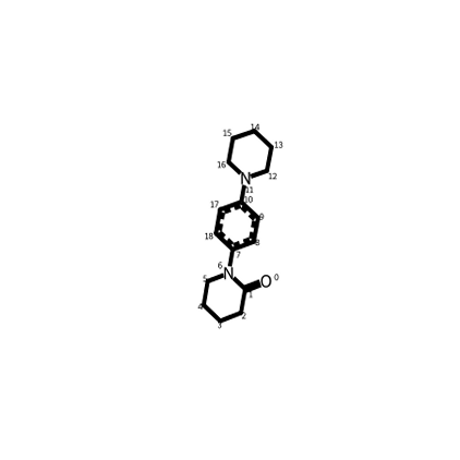 O=C1CCCCN1c1ccc(N2CCCCC2)cc1